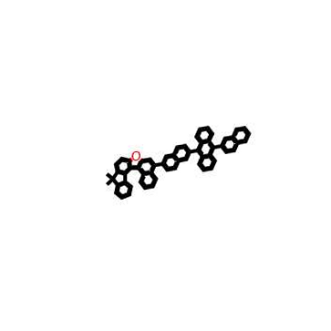 CC1(C)c2ccccc2-c2c1ccc1oc3cc(-c4ccc5cc(-c6c7ccccc7c(-c7ccc8ccccc8c7)c7ccccc67)ccc5c4)c4ccccc4c3c21